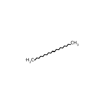 [CH2]CCCCCCCCC/C=C/CCCCCCCCC